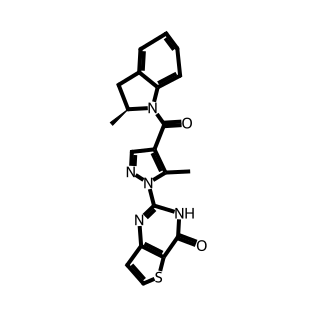 Cc1c(C(=O)N2c3ccccc3C[C@@H]2C)cnn1-c1nc2ccsc2c(=O)[nH]1